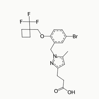 Cc1cc(CCC(=O)O)nn1Cc1cc(Br)ccc1OCC1(C(F)(F)F)CCC1